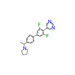 CC(c1ccc(-c2cc(F)c(-c3cncnc3)c(F)c2)cc1)N1CCCC1